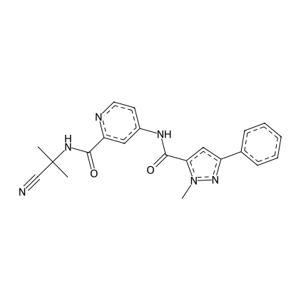 Cn1nc(-c2ccccc2)cc1C(=O)Nc1ccnc(C(=O)NC(C)(C)C#N)c1